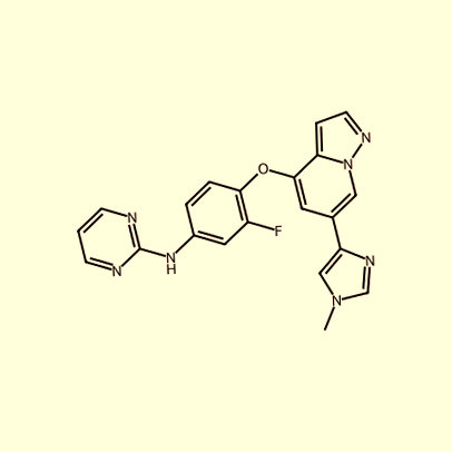 Cn1cnc(-c2cc(Oc3ccc(Nc4ncccn4)cc3F)c3ccnn3c2)c1